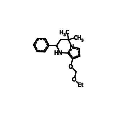 CCOCOc1ccn2c1NC(c1ccccc1)CC2(C)C